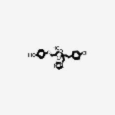 Cl.Oc1ccc(OCC2COC(CCc3ccc(Cl)cc3)(Cn3ccnc3)O2)cc1